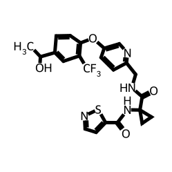 CC(O)c1ccc(Oc2ccc(CNC(=O)C3(NC(=O)c4ccns4)CC3)nc2)c(C(F)(F)F)c1